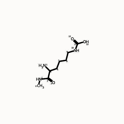 CNC(=O)C(N)CCCCNC(=O)O